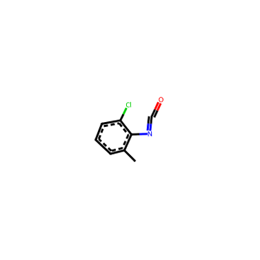 Cc1cccc(Cl)c1N=C=O